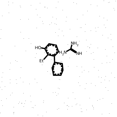 CCc1c(O)cccc1-c1ccccc1.N=C(N)N